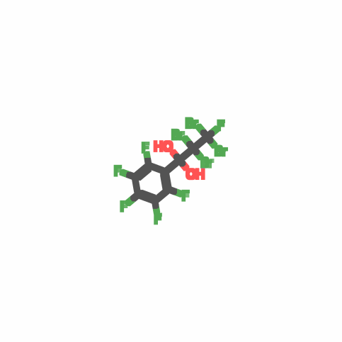 OC(O)(c1c(F)c(F)c(F)c(F)c1F)C(Br)(Br)C(F)(Br)Br